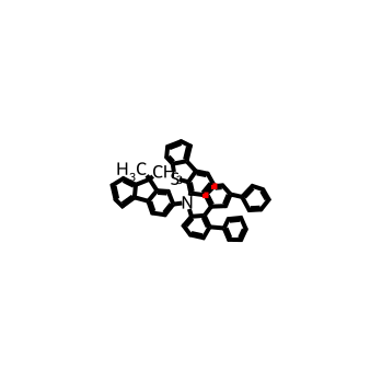 CC1(C)c2ccccc2-c2ccc(N(c3cccc(-c4ccccc4)c3-c3cccc(-c4ccccc4)c3)c3cccc4c3sc3ccccc34)cc21